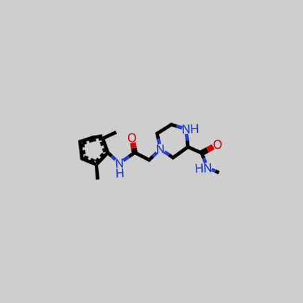 CNC(=O)C1CN(CC(=O)Nc2c(C)cccc2C)CCN1